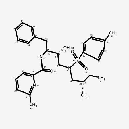 CC[C@H](C)CN(C[C@@H](O)[C@H](Cc1ccccc1)NC(=O)c1cccc(C)n1)S(=O)(=O)c1ccc(C)cc1